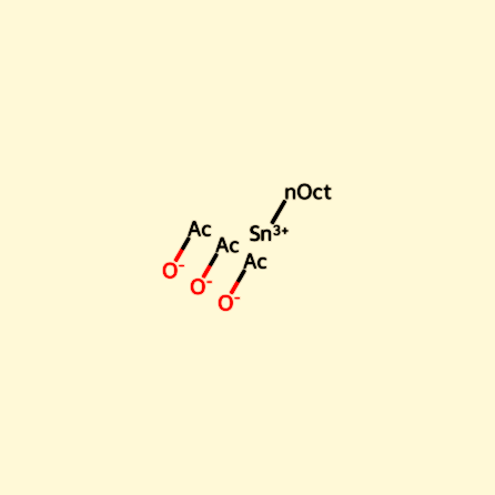 CC(=O)[O-].CC(=O)[O-].CC(=O)[O-].CCCCCCC[CH2][Sn+3]